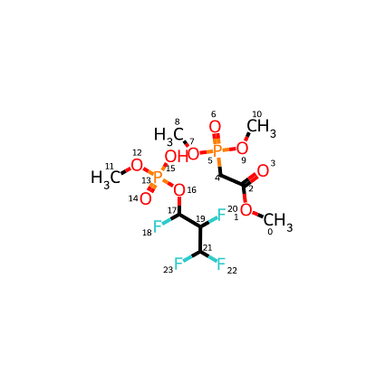 COC(=O)CP(=O)(OC)OC.COP(=O)(O)OC(F)C(F)C(F)F